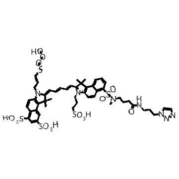 CN(CCCC(=O)NCCCn1ccnn1)S(=O)(=O)c1cccc2c3c(ccc12)[N+](CCCS(=O)(=O)O)=C(/C=C/C=C/C=C1/N(CCCSOOO)c2ccc4c(S(=O)(=O)O)cc(S(=O)(=O)O)cc4c2C1(C)C)C3(C)C